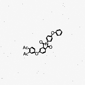 CC(=O)c1ccc(Oc2ccc3c(c2)C(=O)N(c2ccc(Oc4ccccc4)cc2)C3=O)cc1C(C)=O